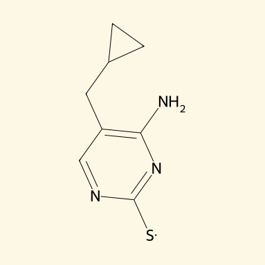 Nc1nc([S])ncc1CC1CC1